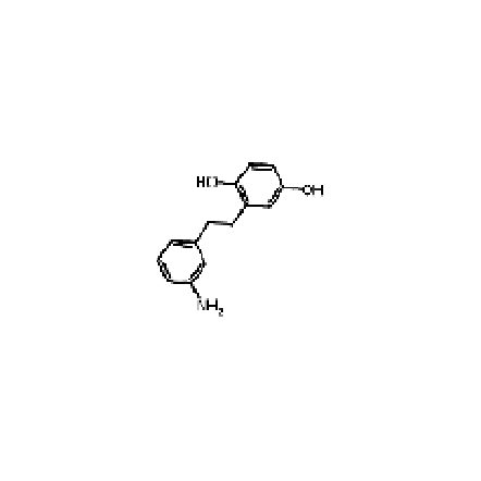 Nc1cccc(CCc2cc(O)ccc2O)c1